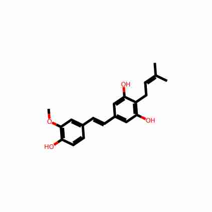 COc1cc(/C=C/c2cc(O)c(CC=C(C)C)c(O)c2)ccc1O